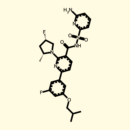 CC(C)COc1cc(F)cc(-c2ccc(C(=O)NS(=O)(=O)c3cccc(N)n3)c(N3C[C@@H](F)C[C@H]3C)n2)c1